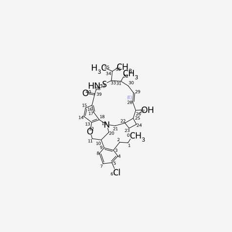 CCCc1cc(Cl)ccc1C1COc2ccc3cc2N(C1)CC1CCC1C(O)/C=C/CC(C)C(C(C)C)SNC3=O